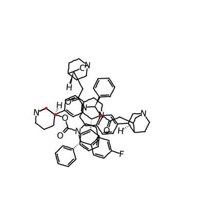 O=C(C[C@H]1CN2CCC1C(c1ccc3c(c1)[C@H](c1ccccc1)N(C(=O)C[C@H]1CN4CCC1CC4)CC3)C2)N1CCc2ccc(C3CN4CCC3[C@H](OC(=O)N3CCc5cc(F)ccc5[C@@H]3c3ccccc3)C4)cc2[C@H]1c1ccccc1